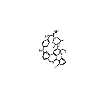 CC1CN(C(=N)Nc2ccc(Nc3ncc4c(n3)-c3ccc(CI)cc3C(c3c(F)cccc3F)=NC4)cc2)CC(C)N1